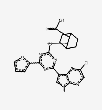 O=C(O)C1C2CCC(CC2)C1Nc1nc(-c2ccco2)nc(-c2c[nH]c3ncc(Cl)nc23)n1